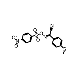 CSc1ccc(C(C#N)=NOS(=O)(=O)c2ccc([N+](=O)[O-])cc2)cc1